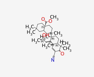 COC(=O)[C@]12CCC(C)(C)CC1C[C@](C)([C@]1(C)CC[C@H]3C(C)(C)C(=O)C(C#N)=C[C@]3(C)[C@H]1C[C@@H](C)O)CC2